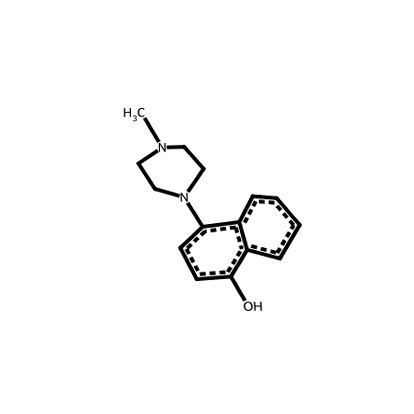 CN1CCN(c2ccc(O)c3ccccc23)CC1